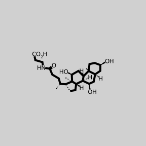 C[C@H](CCC(=O)NCCC(=O)O)[C@H]1CC[C@H]2[C@@H]3[C@H](O)C[C@@H]4C[C@H](O)CC[C@]4(C)[C@H]3C[C@H](O)[C@]12C